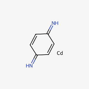 N=C1C=CC(=N)C=C1.[Cd]